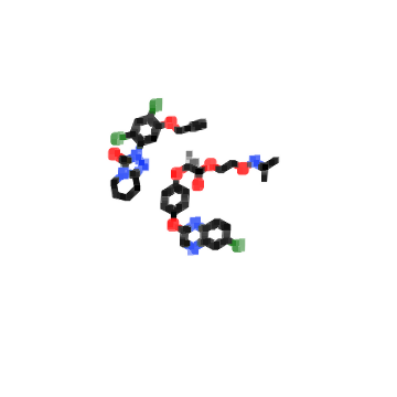 C#CCOc1cc(-n2nc3n(c2=O)CCCC3)c(Cl)cc1Cl.CC(C)=NOCCOC(=O)[C@@H](C)Oc1ccc(Oc2cnc3cc(Cl)ccc3n2)cc1